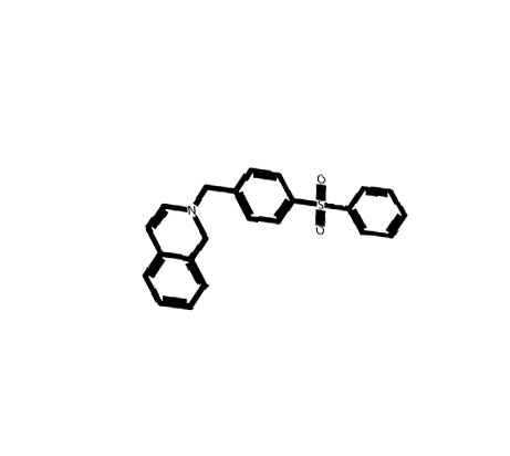 O=S(=O)(c1ccccc1)c1ccc(CN2C=Cc3ccccc3C2)cc1